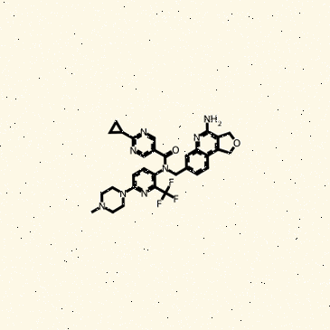 CN1CCN(c2ccc(N(Cc3ccc4c5c(c(N)nc4c3)COC5)C(=O)c3cnc(C4CC4)nc3)c(C(F)(F)F)n2)CC1